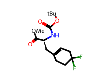 COC(=O)[C@H](CC1=CCC(F)(F)CC1)NC(=O)OC(C)(C)C